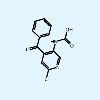 O=C(O)Nc1cnc(Cl)cc1C(=O)c1ccccc1